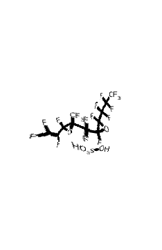 FC(F)=C(F)C1(F)OC1(C(F)(F)F)C(F)(F)C1(F)OC1(F)C(F)(F)C(F)(F)C(F)(F)F.O=S(=O)(O)O